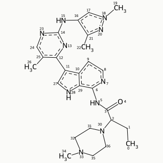 CCC(C(=O)Nc1nccc2c(-c3nc(Nc4cn(C)nc4C)ncc3C)c[nH]c12)N1CCN(C)CC1